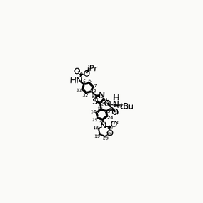 CC(C)OC(=O)Nc1ccc(-c2ncc(-c3ccc(N4CCCOC4=O)cc3S(=O)(=O)NC(C)(C)C)s2)cc1